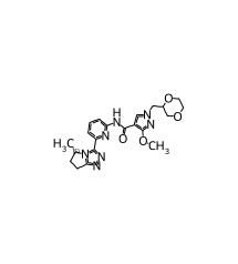 COc1nn(CC2COCCO2)cc1C(=O)Nc1cccc(-c2nnc3n2[C@@H](C)CC3)n1